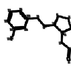 O=CCN1CCC[C@@H]1CCc1cccc(F)c1